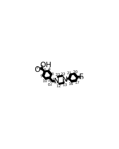 C[C@H](c1ccc(C(=O)O)cc1)N1CCN(c2ccc(F)cc2)CC1